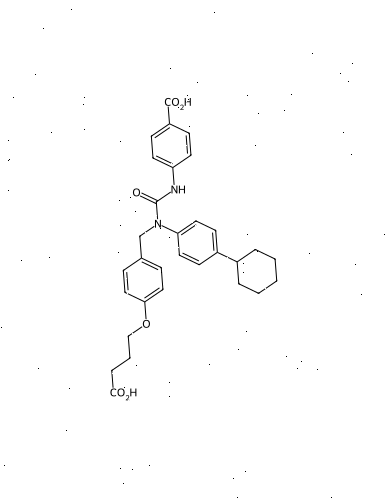 O=C(O)CCCOc1ccc(CN(C(=O)Nc2ccc(C(=O)O)cc2)c2ccc(C3CCCCC3)cc2)cc1